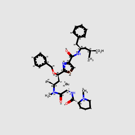 CC[C@H](C)[C@H](NC(=O)[C@H]1CCCCN1C)C(=O)N(C)[C@H](C[C@@H](OCc1ccccc1)c1nc(C(=O)N[C@@H](Cc2ccccc2)C[C@H](C)C(=O)O)cs1)C(C)C